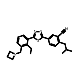 CCc1c(CN2CCC2)cccc1-c1nnc(-c2ccc(CC(C)C)c(C#N)c2)s1